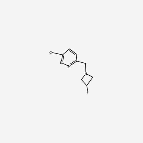 FC1CN(Cc2ccc(Cl)nn2)C1